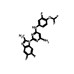 Cc1nc2cc(F)c(F)cc2n1-c1nc(N)cc(Nc2ccc(OC(F)F)c(F)c2)n1